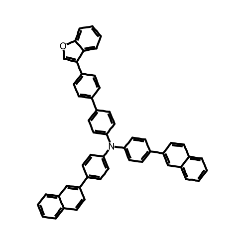 c1ccc2cc(-c3ccc(N(c4ccc(-c5ccc(-c6coc7ccccc67)cc5)cc4)c4ccc(-c5ccc6ccccc6c5)cc4)cc3)ccc2c1